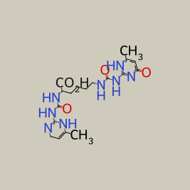 CC1=CCN=C(NC(=O)NC(CCCCNC(=O)Nc2nc(=O)cc(C)[nH]2)C(=O)O)N1